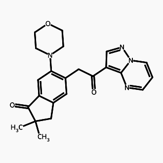 CC1(C)Cc2cc(CC(=O)c3cnn4cccnc34)c(N3CCOCC3)cc2C1=O